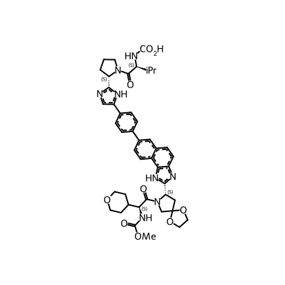 COC(=O)N[C@H](C(=O)N1CC2(C[C@H]1c1nc3ccc4cc(-c5ccc(-c6cnc([C@@H]7CCCN7C(=O)[C@@H](NC(=O)O)C(C)C)[nH]6)cc5)ccc4c3[nH]1)OCCO2)C1CCOCC1